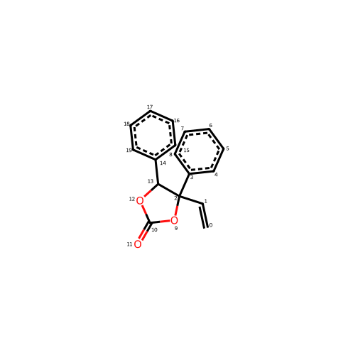 C=CC1(c2ccccc2)OC(=O)OC1c1ccccc1